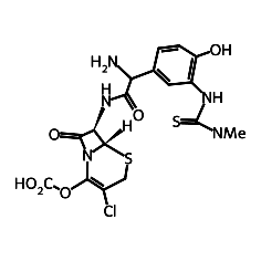 CNC(=S)Nc1cc(C(N)C(=O)N[C@@H]2C(=O)N3C(OC(=O)O)=C(Cl)CS[C@@H]23)ccc1O